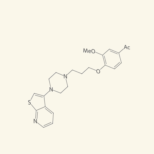 COc1cc(C(C)=O)ccc1OCCCN1CCN(c2csc3ncccc23)CC1